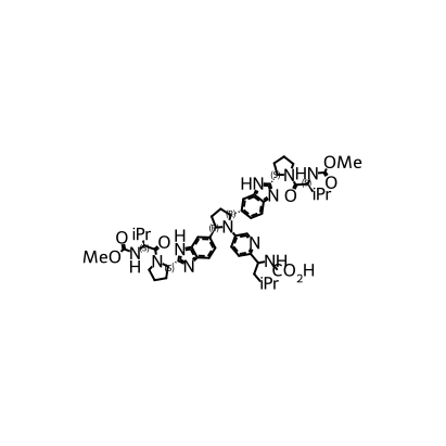 COC(=O)N[C@H](C(=O)N1CCC[C@H]1c1nc2ccc([C@H]3CC[C@H](c4ccc5nc([C@@H]6CCCN6C(=O)[C@@H](NC(=O)OC)C(C)C)[nH]c5c4)N3c3ccc(C(CC(C)C)NC(=O)O)nc3)cc2[nH]1)C(C)C